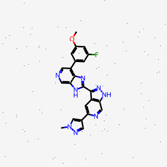 COc1cc(F)cc(-c2cncc3[nH]c(-c4n[nH]c5cnc(-c6cnn(C)c6)cc45)nc23)c1